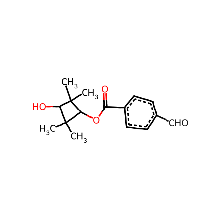 CC1(C)C(O)C(C)(C)C1OC(=O)c1ccc(C=O)cc1